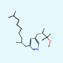 COC(C)(C)C(C)Cc1cncc(CC(C)CCCCCC(C)C)c1